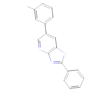 FC(F)(F)c1cccc(-c2cnc3nc(-c4ccccc4)[nH]c3c2)c1